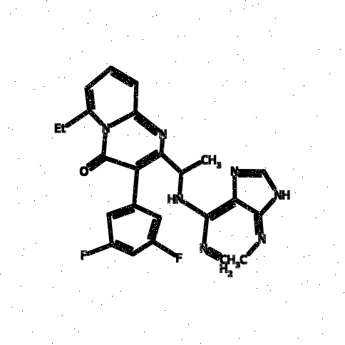 C=N/C(NC(C)c1nc2cccc(CC)n2c(=O)c1-c1cc(F)cc(F)c1)=C1/N=CN/C1=N/C